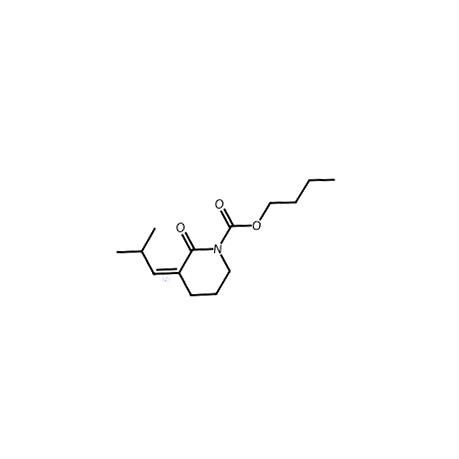 CCCCOC(=O)N1CCC/C(=C/C(C)C)C1=O